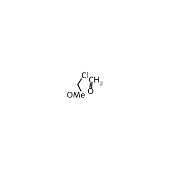 C=O.COCCl